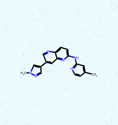 Cc1ccnc(Nc2ccc3ncc(-c4cnn(C)c4)cc3n2)c1